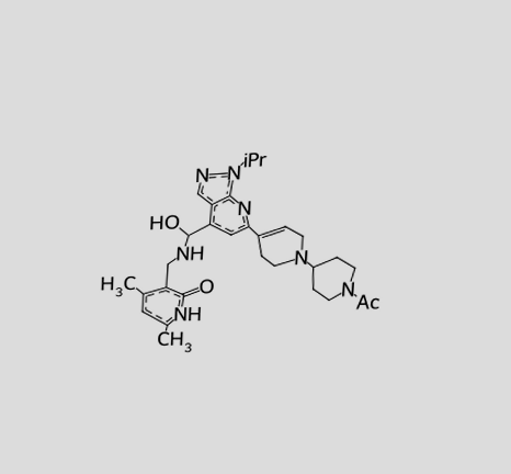 CC(=O)N1CCC(N2CC=C(c3cc(C(O)NCc4c(C)cc(C)[nH]c4=O)c4cnn(C(C)C)c4n3)CC2)CC1